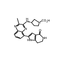 Cc1nc2cccc(-c3cc4c([nH]3)CCNC4=O)c2nc1N[C@@H]1CCN(C(=O)O)C1